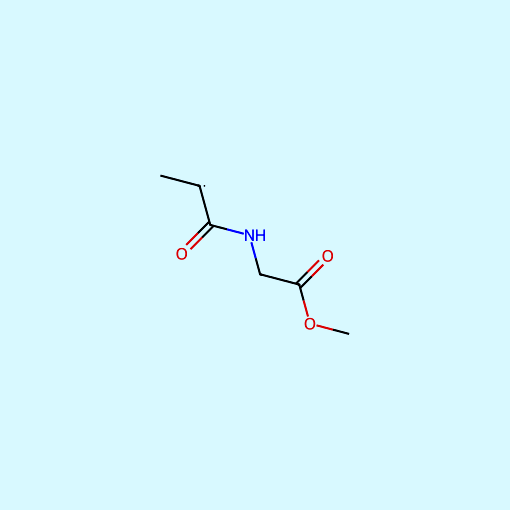 C[CH]C(=O)NCC(=O)OC